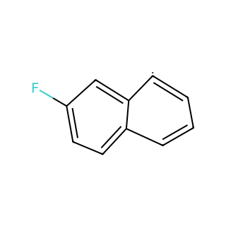 Fc1ccc2ccc[c]c2c1